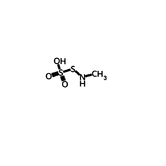 CNSS(=O)(=O)O